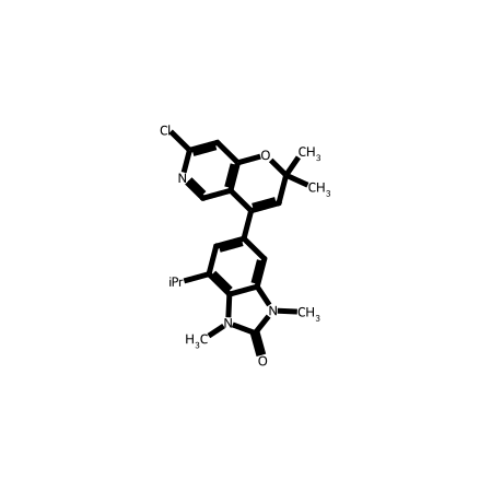 CC(C)c1cc(C2=CC(C)(C)Oc3cc(Cl)ncc32)cc2c1n(C)c(=O)n2C